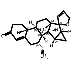 C=C[C@@H]1CC2=CC(=O)CC[C@@H]2[C@H]2CC[C@@]3(C)[C@@H]([C@H]4C[C@H]4[C@@]34C=CCO4)[C@@H]21